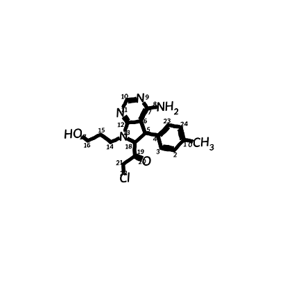 Cc1ccc(C2c3c(N)ncnc3N(CCCO)C2C(=O)CCl)cc1